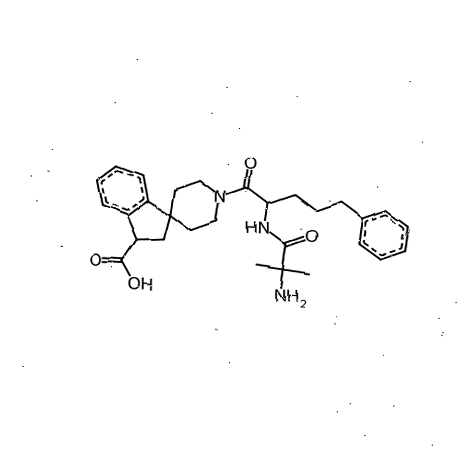 CC(C)(N)C(=O)NC(CCCc1ccccc1)C(=O)N1CCC2(CC1)CC(C(=O)O)c1ccccc12